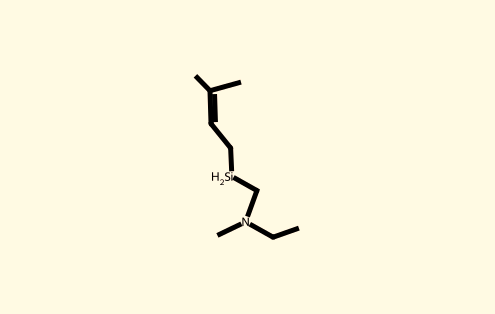 CCN(C)C[SiH2]CC=C(C)C